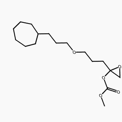 COC(=O)OC1(CCCOCCCC2CCCCCC2)CO1